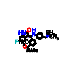 CNC(=O)c1cccc(/C(Nc2ccc(CN(C)C)cc2)=C2/C(=O)Nc3cc(F)ccc32)c1C